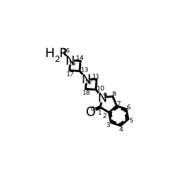 O=C1c2ccccc2CN1C1CN(C2CN(P)C2)C1